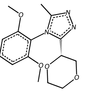 COc1cccc(OC)c1-n1c(C)nnc1[C@@H]1COCCO1